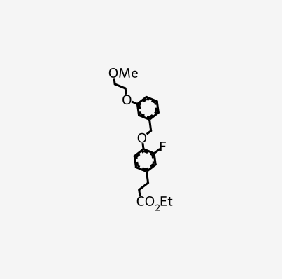 CCOC(=O)CCc1ccc(OCc2cccc(OCCOC)c2)c(F)c1